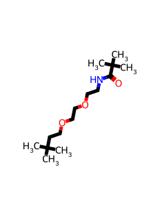 CC(C)(C)CCOCCOCCNC(=O)C(C)(C)C